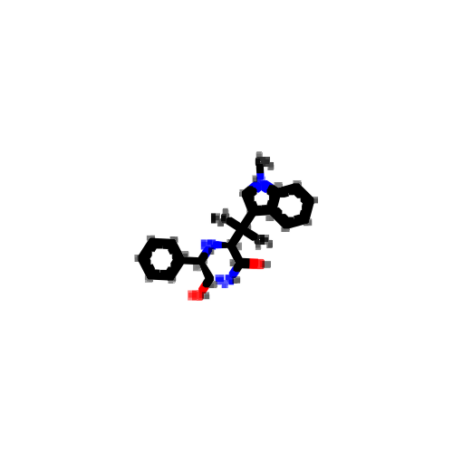 Cn1cc(C(C)(C)[C@H](N[C@@H](CO)c2ccccc2)C(N)=O)c2ccccc21